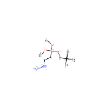 CCO[Si](CCNN)(OCC)OCC(CC)(CC)CC